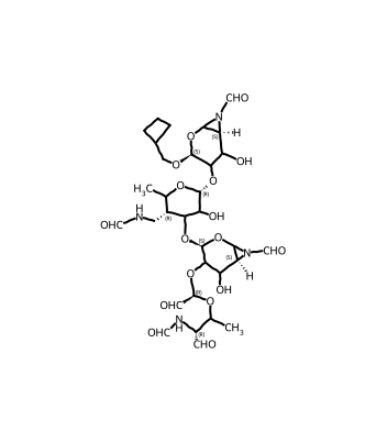 CC1O[C@H](OC2C(O)[C@H]3C(O[C@@H]2OCC2CCC2)N3C=O)C(O)C(O[C@H]2OC3[C@H](C(O)C2O[C@H](C=O)OC(C)[C@H](C=O)NC=O)N3C=O)[C@@H]1CNC=O